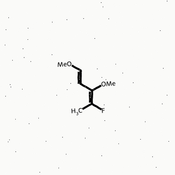 CO/C=C/C(OC)=C(\C)F